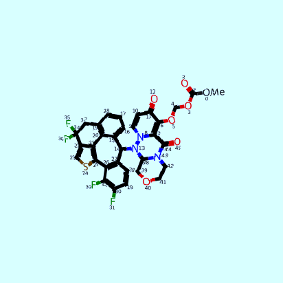 COC(=O)OCOc1c2n(ccc1=O)N(C1c3cccc4c3-c3c(csc3-c3c1ccc(F)c3F)C(F)(F)C4)C1COCCN1C2=O